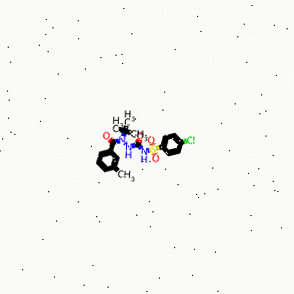 Cc1cccc(C(=O)N(NC(=O)NS(=O)(=O)c2ccc(Cl)cc2)C(C)(C)C)c1